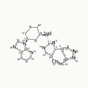 Cn1ncc(-c2nc(N[C@@H]3CCC[C@H](n4cnc5cccnc54)C3)ncc2C#N)c1C#N